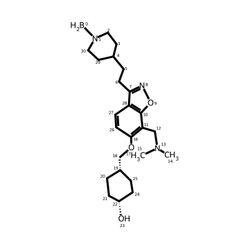 BN1CCC(CCc2noc3c(CN(C)C)c(OC[C@H]4CC[C@@H](O)CC4)ccc23)CC1